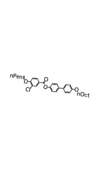 CCCCCCCCOc1ccc(-c2ccc(OC(=O)c3ccc(OCCCCC)c(Cl)c3)cc2)cc1